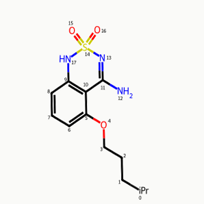 CC(C)CCCOc1cccc2c1C(N)=NS(=O)(=O)N2